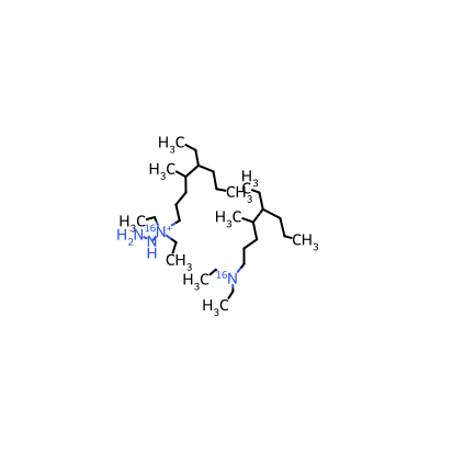 CCCC(CC)C(C)CCC[16N+](CC)(CC)NN.CCCC(CC)C(C)CCC[16N](CC)CC